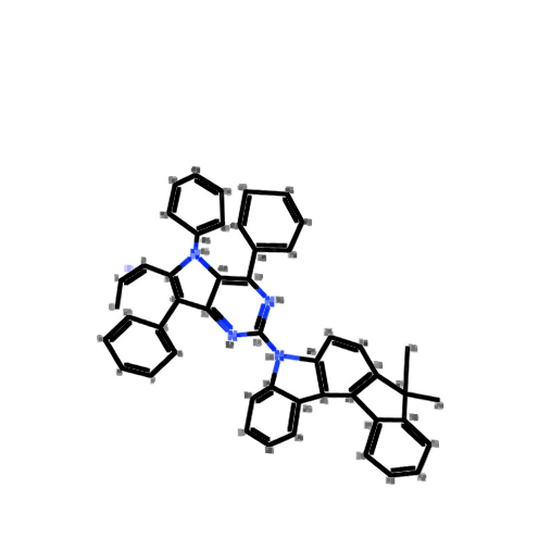 C/C=C\c1c(-c2ccccc2)c2nc(-n3c4ccccc4c4c5c(ccc43)C(C)(C)c3ccccc3-5)nc(-c3ccccc3)c2n1-c1ccccc1